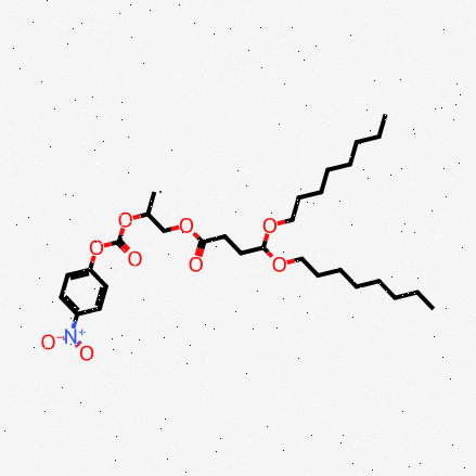 [CH2]C(COC(=O)CCC(OCCCCCCCC)OCCCCCCCC)OC(=O)Oc1ccc([N+](=O)[O-])cc1